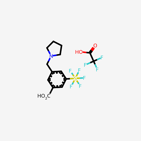 O=C(O)C(F)(F)F.O=C(O)c1cc(CN2CCCC2)cc(S(F)(F)(F)(F)F)c1